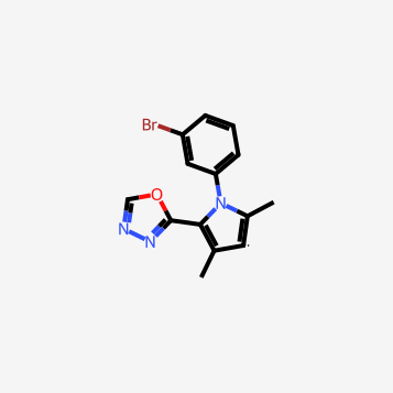 Cc1[c]c(C)n(-c2cccc(Br)c2)c1-c1nnco1